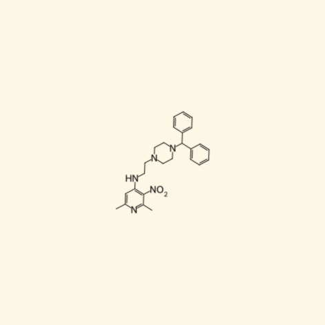 Cc1cc(NCCN2CCN(C(c3ccccc3)c3ccccc3)CC2)c([N+](=O)[O-])c(C)n1